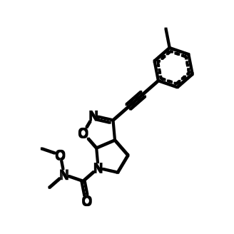 CON(C)C(=O)N1CCC2C(C#Cc3cccc(C)c3)=NOC21